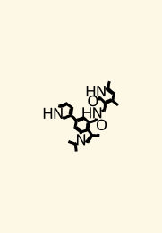 Cc1cc(C)c(CNC(=O)c2cc(C3=CC=CNC3)cc3c2c(C)cn3C(C)C)c(=O)[nH]1